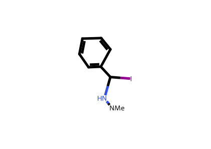 CNNC(I)c1ccccc1